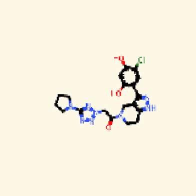 O=C(Cn1nnc(N2CCCC2)n1)N1CCc2[nH]nc(-c3cc(Cl)c(O)cc3O)c2C1